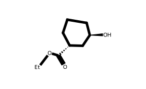 CCOC(=O)[C@@H]1CCC[C@@H](O)C1